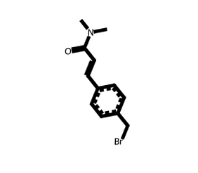 CN(C)C(=O)/C=C/c1ccc(CBr)cc1